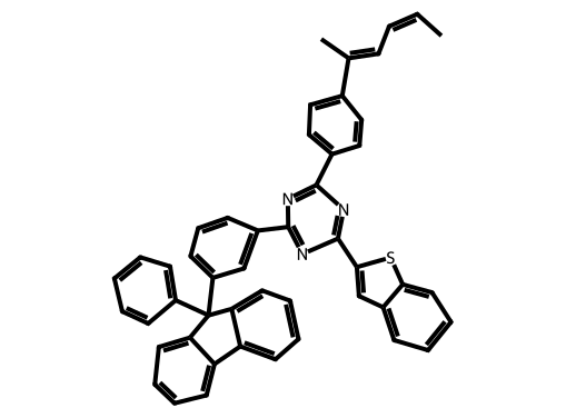 C/C=C\C=C(/C)c1ccc(-c2nc(-c3cccc(C4(c5ccccc5)c5ccccc5-c5ccccc54)c3)nc(-c3cc4ccccc4s3)n2)cc1